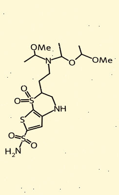 COC(C)OC(C)N(CCC1CNc2cc(S(N)(=O)=O)sc2S1(=O)=O)C(C)OC